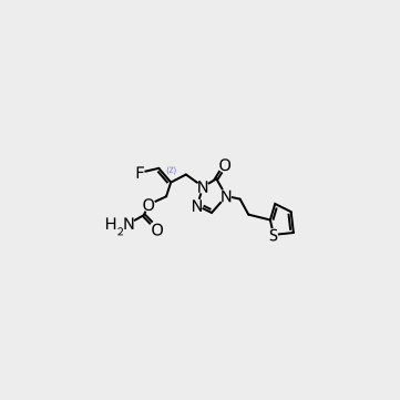 NC(=O)OC/C(=C\F)Cn1ncn(CCc2cccs2)c1=O